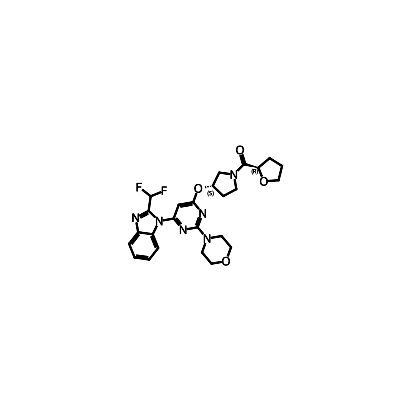 O=C([C@H]1CCCO1)N1CC[C@H](Oc2cc(-n3c(C(F)F)nc4ccccc43)nc(N3CCOCC3)n2)C1